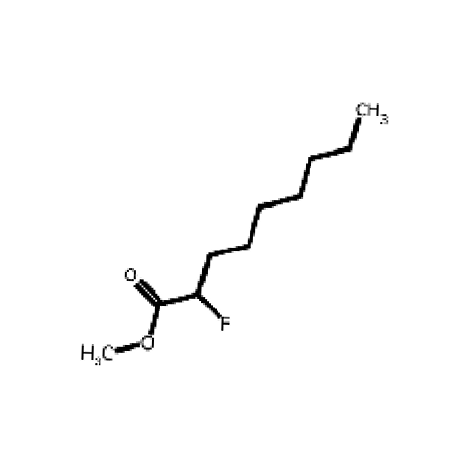 CCCCCCCC(F)C(=O)OC